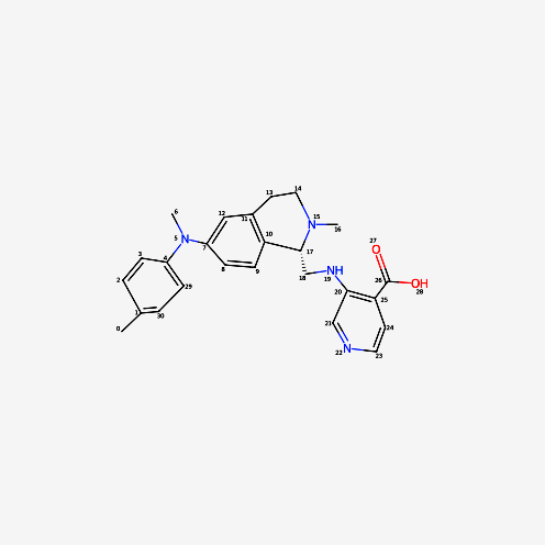 Cc1ccc(N(C)c2ccc3c(c2)CCN(C)[C@@H]3CNc2cnccc2C(=O)O)cc1